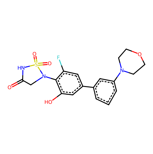 O=C1CN(c2c(O)cc(-c3cccc(N4CCOCC4)c3)cc2F)S(=O)(=O)N1